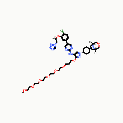 COCCOCCOCCOCCOCCOCCCOc1nn([C@H]2CC[C@H](N3[C@@H]4CC[C@H]3COC4)CC2)cc1Nc1ncc(-c2ccc(Cl)c(O[C@@H](C)Cn3cnnn3)c2)cn1